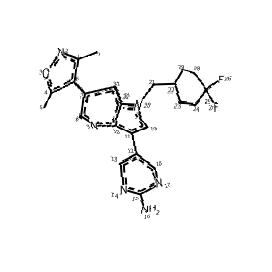 Cc1noc(C)c1-c1cnc2c(-c3cnc(N)nc3)cn(CC3CCC(F)(F)CC3)c2c1